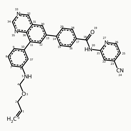 C=CCOCNc1cccc(-c2cc(-c3ccc(C(=O)Nc4cc(C#N)ccn4)cc3)cc3cncnc23)c1